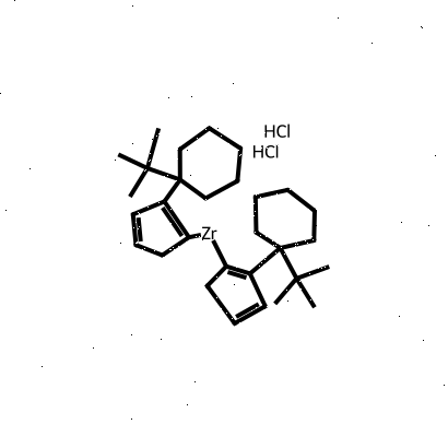 CC(C)(C)C1(C2=[C]([Zr][C]3=C(C4(C(C)(C)C)CCCCC4)C=CC3)CC=C2)CCCCC1.Cl.Cl